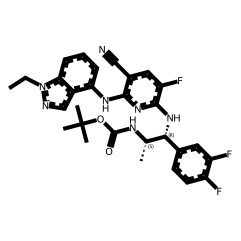 CCn1ncc2c(Nc3nc(N[C@H](c4ccc(F)c(F)c4)[C@H](C)NC(=O)OC(C)(C)C)c(F)cc3C#N)cccc21